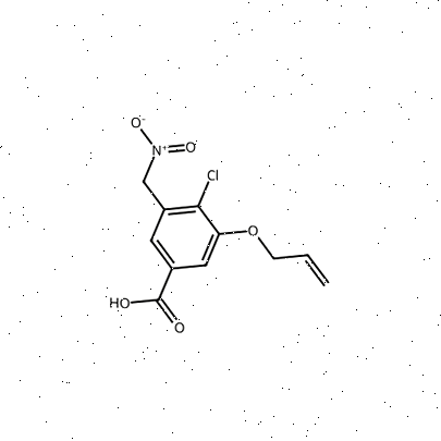 C=CCOc1cc(C(=O)O)cc(C[N+](=O)[O-])c1Cl